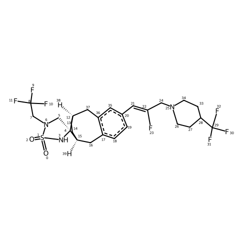 O=S1(=O)N[C@@]2(CN1CC(F)(F)F)[C@@H]1CC[C@H]2Cc2ccc(/C=C(\F)CN3CCC(C(F)(F)F)CC3)cc2C1